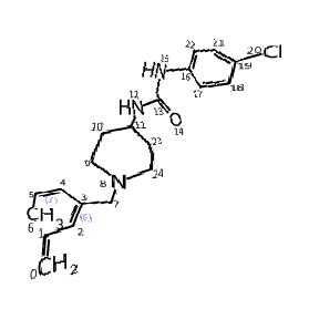 C=C/C=C(\C=C/C)CN1CCC(NC(=O)Nc2ccc(Cl)cc2)CC1